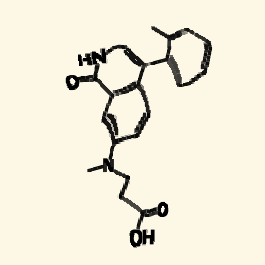 Cc1ccccc1-c1c[nH]c(=O)c2cc(N(C)CCC(=O)O)ccc12